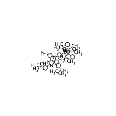 CC(C)(C)c1cccc(-c2nc(-c3cccc(C(C)(C)C)c3)nc(-c3cc(C#N)ccc3-n3c4ccccc4c4cc(-c5nc(-c6c(C(C)(C)C)cccc6C(C)(C)C)nc(-c6c(C(C)(C)C)cccc6C(C)(C)C)n5)ccc43)n2)c1